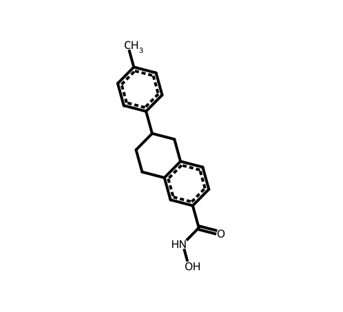 Cc1ccc(C2CCc3cc(C(=O)NO)ccc3C2)cc1